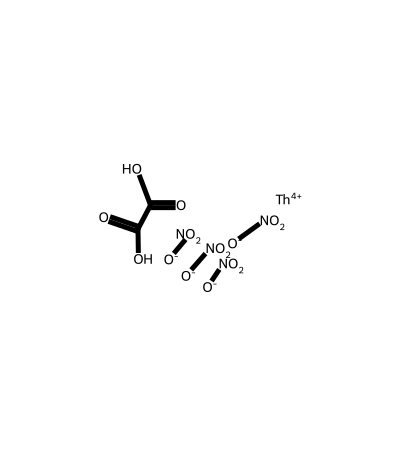 O=C(O)C(=O)O.O=[N+]([O-])[O-].O=[N+]([O-])[O-].O=[N+]([O-])[O-].O=[N+]([O-])[O-].[Th+4]